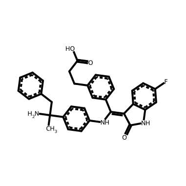 CC(N)(Cc1ccccc1)c1ccc(N/C(=C2\C(=O)Nc3cc(F)ccc32)c2cccc(CCC(=O)O)c2)cc1